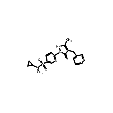 Cc1[nH]n(-c2ccc(S(=O)(=O)N(C)C3CC3)cn2)c(=O)c1Cc1cccnc1